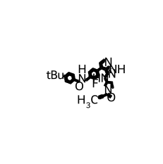 CC#CC(=O)N1CCC(Nc2n[nH]c3nccc(-c4ccc(CNC(=O)c5ccc(C(C)(C)C)cc5)c(F)c4)c23)C1